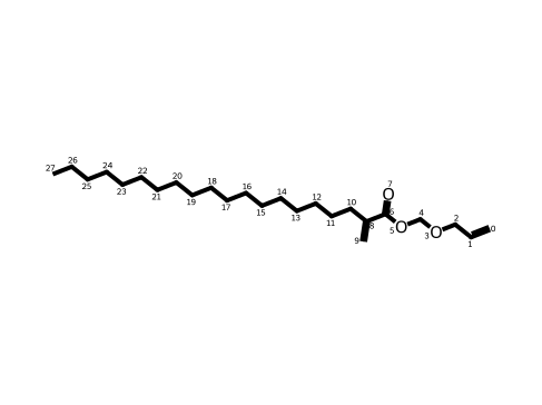 C=CCOCOC(=O)C(=C)CCCCCCCCCCCCCCCCCC